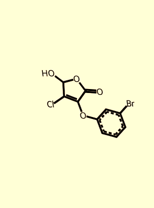 O=C1OC(O)C(Cl)=C1Oc1cccc(Br)c1